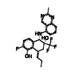 CC/C=C1\C[C@](O)(C(F)(F)F)[C@@H](Nc2cccc3nc(C)ncc23)c2ccc(F)c(O)c21